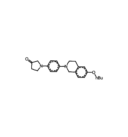 CCCCOc1ccc2c(c1)CCN(c1ccc(N3CCC(=O)C3)cc1)C2